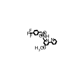 COc1cc(CNS(=O)(=O)Cc2ccc(C(F)(F)F)cc2)nc(-c2ccccn2)c1